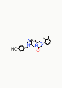 CCCC[C@H]1CN(c2cccc(C)c2C)CC(=O)N1Cc1cncn1Cc1ccc(C#N)cc1